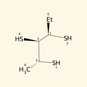 CC[C@@H](S)[C@H](S)[C@@H](C)S